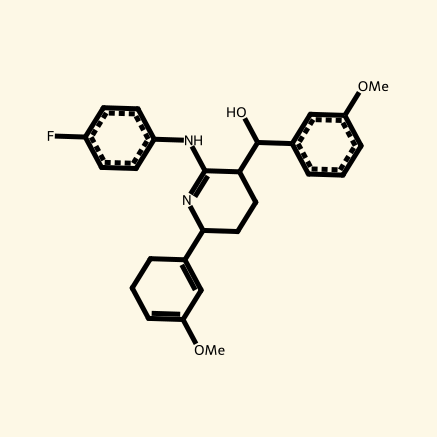 COC1=CCCC(C2CCC(C(O)c3cccc(OC)c3)C(Nc3ccc(F)cc3)=N2)=C1